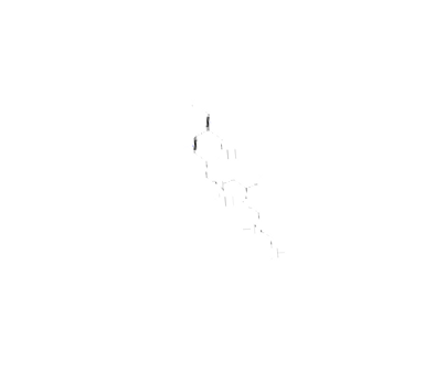 C/C=C(\C=C/CCN(C)CC(C)SCNCC)CC